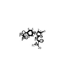 Cc1cn(-c2ccc3c(c2)OC(F)(F)O3)/c(=N/C(=O)N(C)C)s1